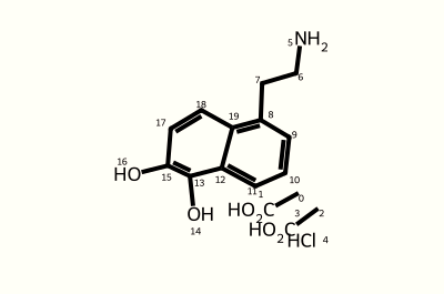 CC(=O)O.CC(=O)O.Cl.NCCc1cccc2c(O)c(O)ccc12